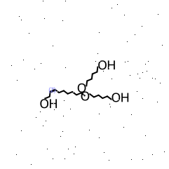 OCC/C=C\CCCCCC(OCCCCCCO)OCCCCCCO